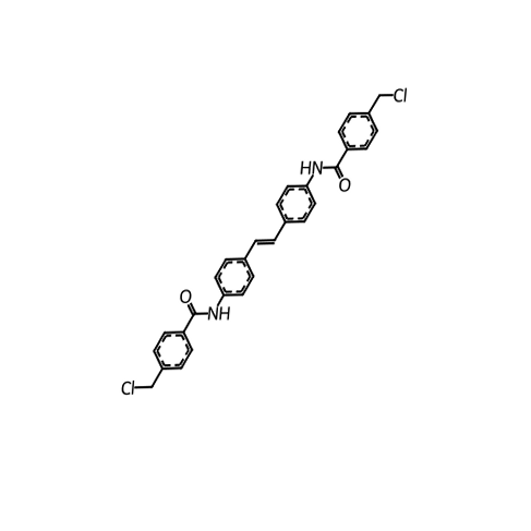 O=C(Nc1ccc(C=Cc2ccc(NC(=O)c3ccc(CCl)cc3)cc2)cc1)c1ccc(CCl)cc1